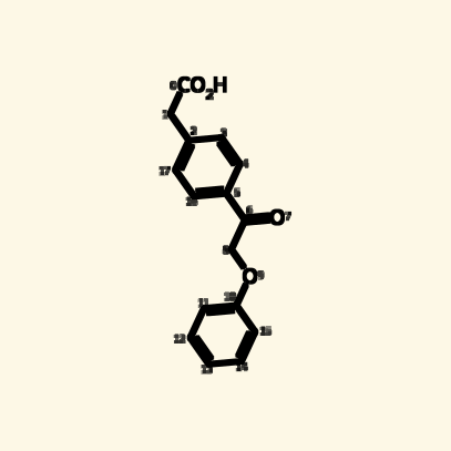 O=C(O)Cc1ccc(C(=O)COc2ccccc2)cc1